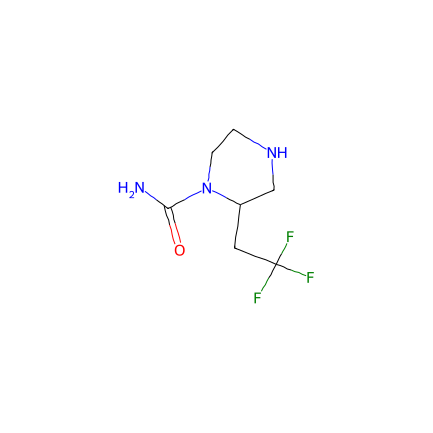 NC(=O)N1CCNCC1CC(F)(F)F